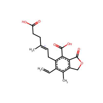 C=Cc1c(C)c2c(c(C(=O)O)c1C/C=C(\C)CCC(=O)O)C(=O)OC2